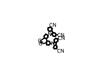 N#Cc1ccc2c(c1)c1cc(C#N)ccc1n2-c1ccc2c(c1)-c1cc(-n3c4ccc(C#N)cc4c4cc(C#N)ccc43)ccc1CS(=O)(=O)C2